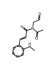 CNc1ccccc1/C=C/C(=O)N(C[C]=O)C(C)=O